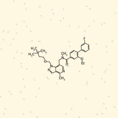 CCOc1cc(C(=O)N(C)Cc2cnc(C)c3cnn(COCC[Si](C)(C)C)c23)ccc1-c1cccc(F)c1